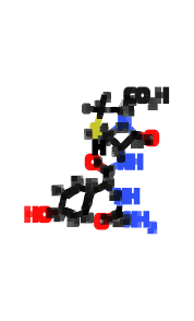 CC1(C)S[C@@H]2[C@H](NC(=O)C(NC(N)=O)c3ccc(O)cc3)C(=O)N2[C@H]1C(=O)O